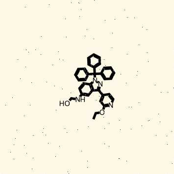 CCOc1cc(-c2nn(C(c3ccccc3)(c3ccccc3)c3ccccc3)c3ccc(NCO)cc23)ccn1